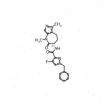 CN1C(=O)[C@@H](NC(=O)c2nn(Cc3ccccc3)cc2F)CCc2c1cnn2C